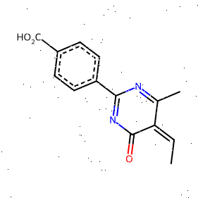 CC=C1C(=O)N=C(c2ccc(C(=O)O)cc2)N=C1C